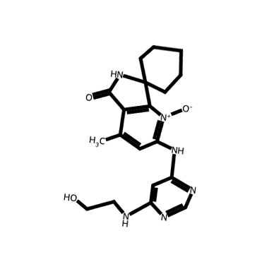 Cc1cc(Nc2cc(NCCO)ncn2)[n+]([O-])c2c1C(=O)NC21CCCCC1